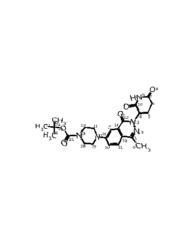 Cc1nn(C2CCC(=O)NC2=O)c(=O)c2cc(N3CCN(C(=O)OC(C)(C)C)CC3)ccc12